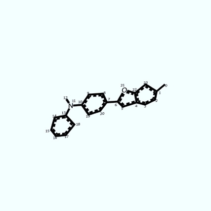 Cc1ccc2cc(-c3ccc(N(C)c4ccccc4)cc3)oc2c1